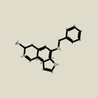 CC(C)C1Cc2cc(OCc3ccccc3)c3occc3c2C=N1